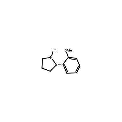 CCN1CCC[C@H]1c1ccccc1SC